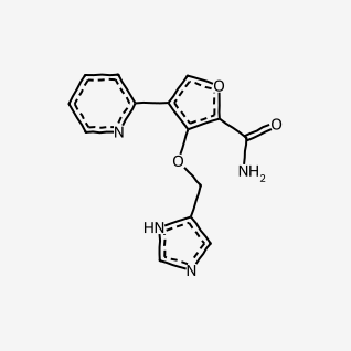 NC(=O)c1occ(-c2ccccn2)c1OCc1cnc[nH]1